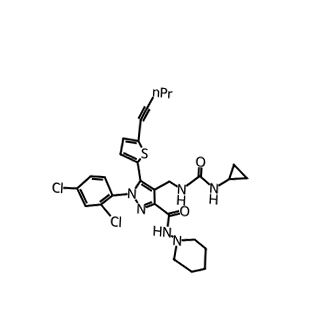 CCCC#Cc1ccc(-c2c(CNC(=O)NC3CC3)c(C(=O)NN3CCCCC3)nn2-c2ccc(Cl)cc2Cl)s1